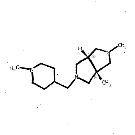 CN1CCC(CN2C[C@@H]3CN(C)C[C@]3(C)C2)CC1